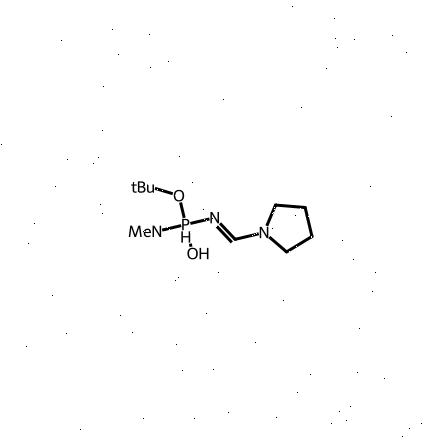 CN[PH](O)(N=CN1CCCC1)OC(C)(C)C